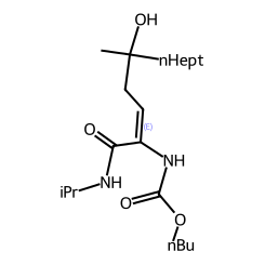 CCCCCCCC(C)(O)C/C=C(/NC(=O)OCCCC)C(=O)NC(C)C